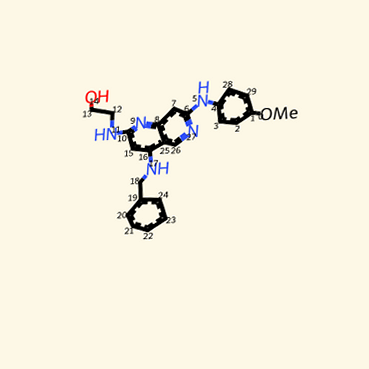 COc1ccc(Nc2cc3nc(NCCO)cc(NCc4ccccc4)c3cn2)cc1